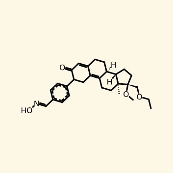 CCOC[C@]1(OC)CC[C@H]2[C@@H]3CCC4=CC(=O)C(c5ccc(C=NO)cc5)CC4=C3CC[C@@]21C